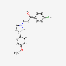 COc1ccc(C2CCN(CCC(=O)c3ccc(F)cc3)C2)cc1